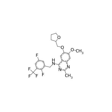 COc1cc2nc(C)nc(NCc3cc(F)cc(C(F)(F)F)c3F)c2cc1OCC1CCCO1